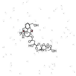 C[C@H](OC(=O)[C@@H](O)CC(=O)OC1=CC[C@@]2(O)[C@H]3Cc4ccc(CO)c5c4[C@@]2(CCN3C)[C@H]1O5)C(=O)N[C@@H](CC(=O)O)C(=O)O